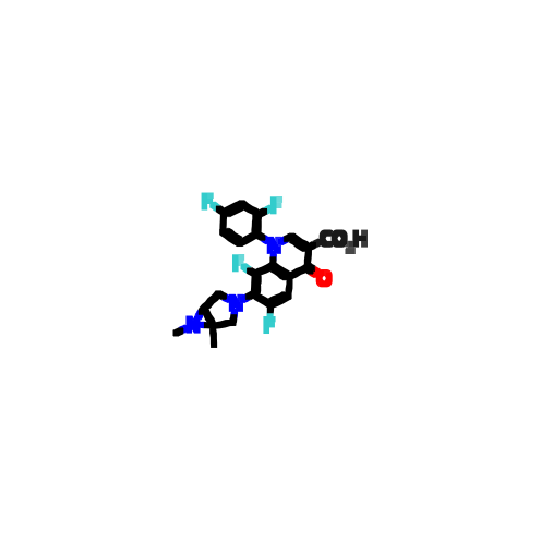 CN1C2CN(c3c(F)cc4c(=O)c(C(=O)O)cn(-c5ccc(F)cc5F)c4c3F)CC21C